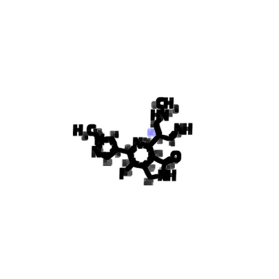 CN/C=C(\C=N)c1nc(-c2cnn(C)c2)c(F)c2c1C(=O)NC2